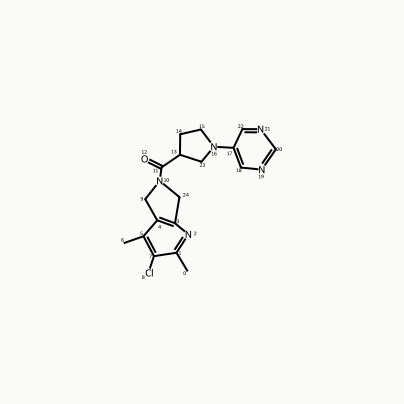 Cc1nc2c(c(C)c1Cl)CN(C(=O)C1CCN(c3cncnc3)C1)C2